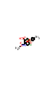 CCOC(=O)c1[nH]c2cc(Cl)c(S(=O)(=O)c3ccc(C)cc3)c(Cl)c2c1/C=C(/C(=O)O)c1ccco1